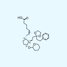 O=C(O)CCC/C=C\C[C@H]1CC[C@@H](OC2CCCCO2)[C@@H]1CCC1(CCc2ccccc2)OCCO1